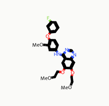 COCCOc1cc2ncnc(Nc3ccc(Oc4cccc(F)c4)c(OC)c3)c2cc1OCCOC